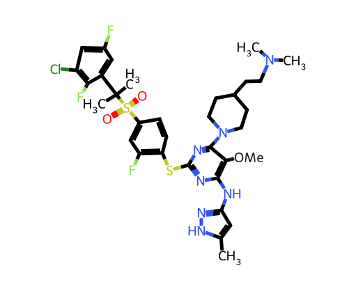 COc1c(Nc2cc(C)[nH]n2)nc(Sc2ccc(S(=O)(=O)C(C)(C)c3cc(F)cc(Cl)c3F)cc2F)nc1N1CCC(CCN(C)C)CC1